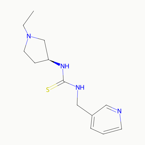 CCN1CC[C@H](NC(=S)NCc2cccnc2)C1